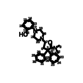 CN(C)C(=O)C(CCN1CCN(c2ccccc2O)CC1)(c1ccccc1)c1ccccc1